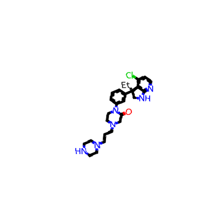 CCC1(c2cccc(N3CCN(CCCN4CCNCC4)CC3=O)c2)CNc2nccc(Cl)c21